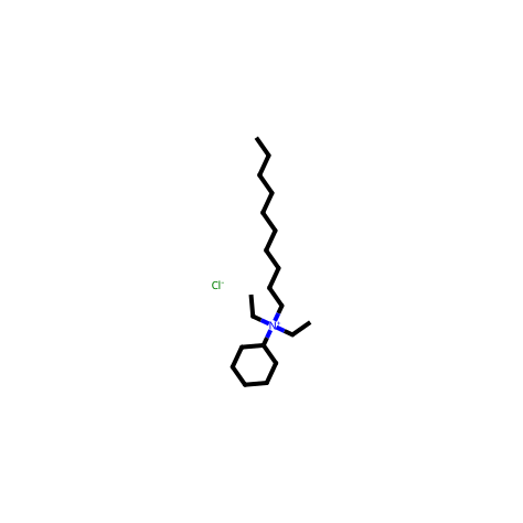 CCCCCCCCCC[N+](CC)(CC)C1CCCCC1.[Cl-]